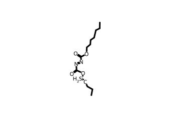 CCCCCCCOC(=O)/N=N/C(=O)O[SiH2]CCCC